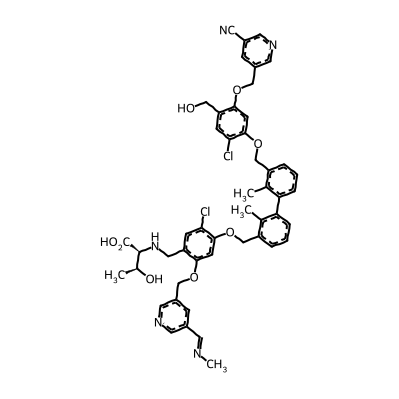 C/N=C/c1cncc(COc2cc(OCc3cccc(-c4cccc(COc5cc(OCc6cncc(C#N)c6)c(CO)cc5Cl)c4C)c3C)c(Cl)cc2CN[C@H](C(=O)O)[C@H](C)O)c1